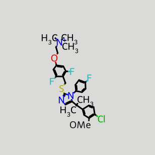 COc1cc(C(C)(C)c2cnc(SCc3c(F)cc(OCC[N+](C)(C)C)cc3F)n2-c2ccc(F)cc2)ccc1Cl